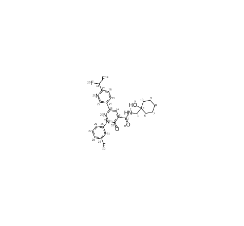 O=C(NCC1(O)CCCCC1)c1cc(-c2ccc(C(F)F)nc2)nn(-c2cccc(F)c2)c1=O